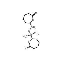 C[Si](C)(O[SiH2]C1CCCCC(=O)O1)C1CCCCC(=O)O1